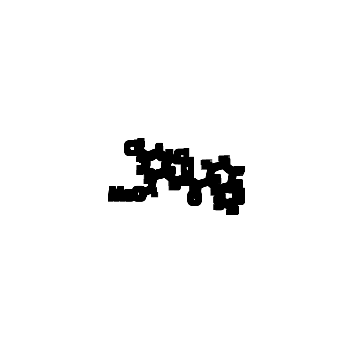 COCc1cc(Cl)cc(Cl)c1CNC(=O)C1CCCc2ncsc21